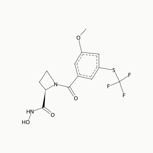 COc1cc(SC(F)(F)F)cc(C(=O)N2CC[C@@H]2C(=O)NO)c1